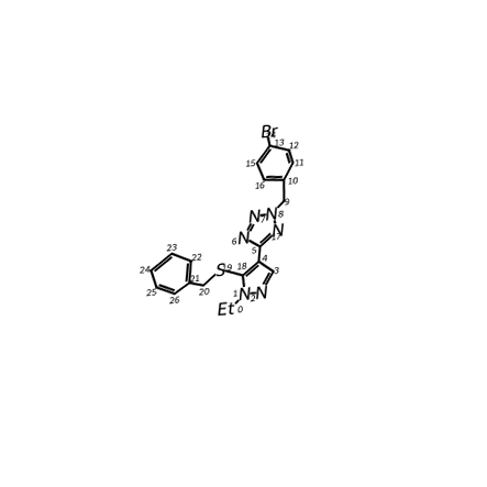 CCn1ncc(-c2nnn(Cc3ccc(Br)cc3)n2)c1SCc1ccccc1